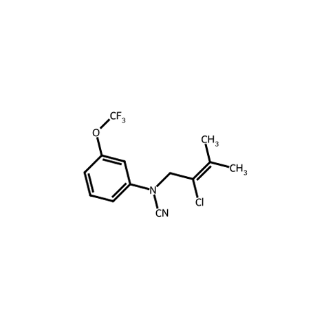 CC(C)=C(Cl)CN(C#N)c1cccc(OC(F)(F)F)c1